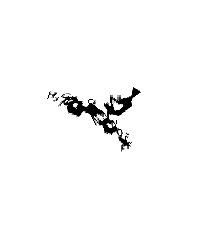 Cn1cc2cc(-c3nc4ccc(OCC(F)(F)F)nc4n(-c4ccc(C5CC5)nc4)c3=O)ccc2n1